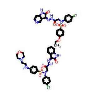 CCOc1ccc(S(=O)(=O)N(CC(=O)NN=C2C(=O)Nc3ccncc32)c2ccc(Cl)cc2)cc1.O=C(CN(c1ccc(Cl)cc1)S(=O)(=O)c1ccc(NCCN2CCOCC2)cc1)NN=C1C(=O)Nc2ccccc21